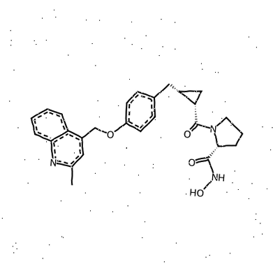 Cc1cc(COc2ccc(C[C@@H]3C[C@@H]3C(=O)N3CCC[C@@H]3C(=O)NO)cc2)c2ccccc2n1